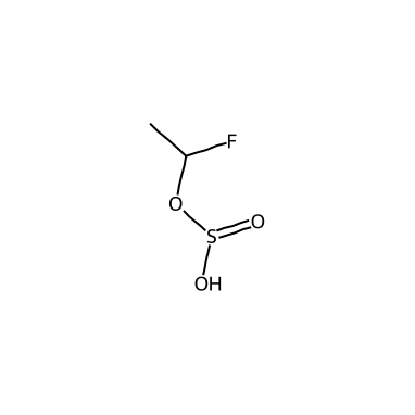 CC(F)OS(=O)O